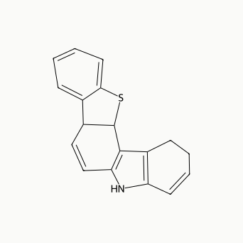 C1=Cc2[nH]c3c(c2CC1)C1Sc2ccccc2C1C=C3